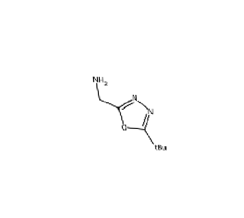 CC(C)(C)c1nnc(CN)o1